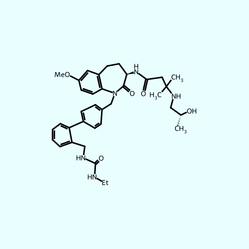 CCNC(=O)NCc1ccccc1-c1ccc(CN2C(=O)[C@H](NC(=O)CC(C)(C)NC[C@@H](C)O)CCc3cc(OC)ccc32)cc1